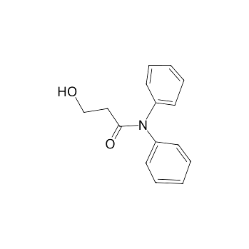 O=C(CCO)N(c1ccccc1)c1ccccc1